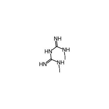 N=C(NI)NC(=N)NI